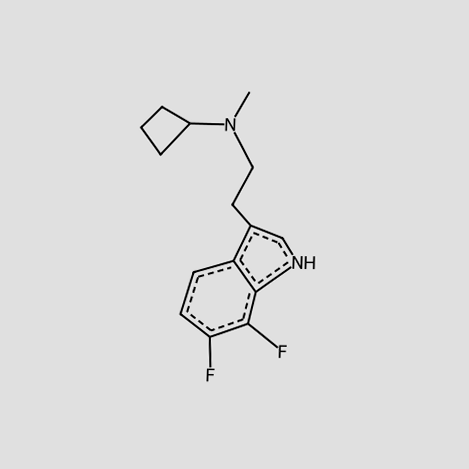 CN(CCc1c[nH]c2c(F)c(F)ccc12)C1CCC1